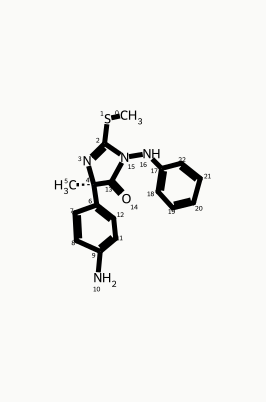 CSC1=N[C@](C)(c2ccc(N)cc2)C(=O)N1Nc1ccccc1